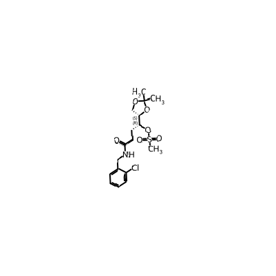 CC1(C)OC[C@@H]([C@@H](CCC(=O)NCc2ccccc2Cl)OS(C)(=O)=O)O1